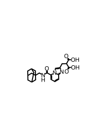 O=C(NCC12CC3CC(CC(C3)C1)C2)c1cccc2nc(CC(C(=O)O)C(=O)O)cn12